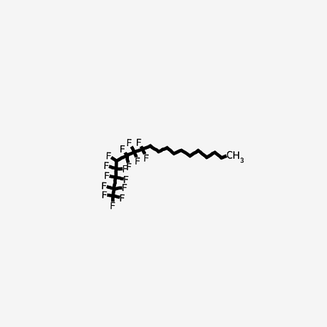 CCCCCCCCCCCC(F)(F)C(F)(F)C(F)(F)C(F)C(F)(F)C(F)(F)C(F)(F)C(F)(F)F